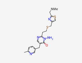 CNCc1nc(CSCCc2ncc(Cc3ccc(C)nc3)c(=O)n2N)cs1